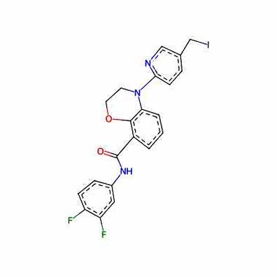 O=C(Nc1ccc(F)c(F)c1)c1cccc2c1OCCN2c1ccc(CI)cn1